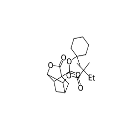 CCC(C)(C)C(=O)OC1C2CC3C1OC(=O)C3(C(=O)OC1(C)CCCCC1)C2